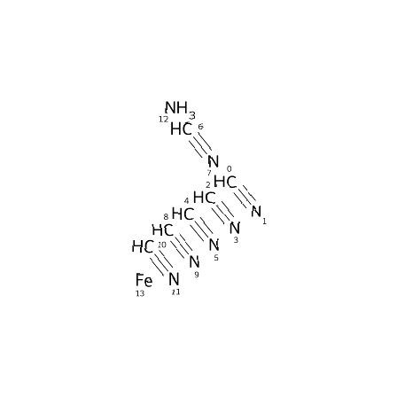 C#N.C#N.C#N.C#N.C#N.C#N.N.[Fe]